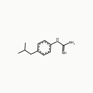 CC(C)Cc1ccc(NC(=N)N)cc1